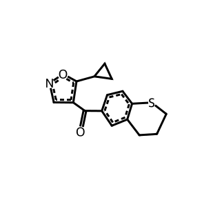 O=C(c1ccc2c(c1)CCCS2)c1cnoc1C1CC1